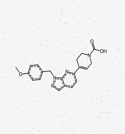 COc1ccc(Cn2ncc3ccc(C4=CCN(C(=O)O)CC4)nc32)cc1